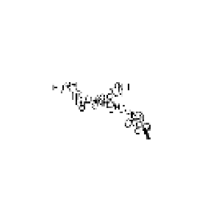 CC(C)c1ccccc1[C@@H]1CN(Cc2ccc(C3CC3)cc2)CCN1C1CC2(CCN(c3cc(Oc4cnc5[nH]ccc5c4)c(C(=O)NS(=O)(=O)c4ccc(NCC5CCC(C)(O)CC5)c([N+](=O)[O-])c4)cc3F)CC2)C1